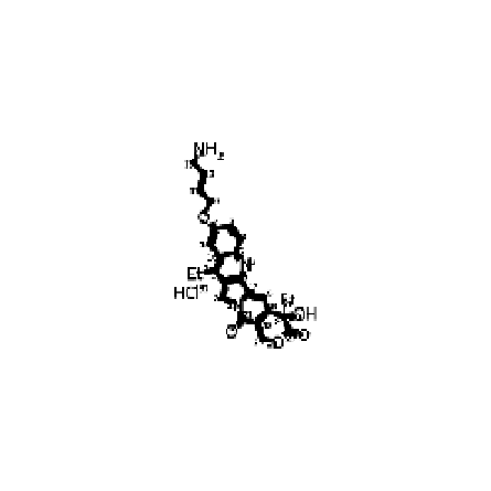 CCc1c2c(nc3ccc(OCCCCN)cc13)-c1cc3c(c(=O)n1C2)COC(=O)[C@]3(O)CC.Cl